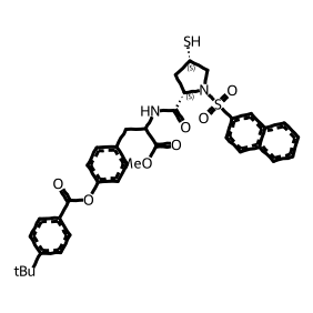 COC(=O)C(Cc1ccc(OC(=O)c2ccc(C(C)(C)C)cc2)cc1)NC(=O)[C@@H]1C[C@H](S)CN1S(=O)(=O)c1ccc2ccccc2c1